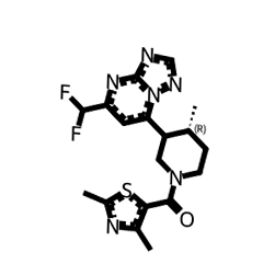 Cc1nc(C)c(C(=O)N2CC[C@@H](C)C(c3cc(C(F)F)nc4ncnn34)C2)s1